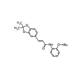 CCCCOc1ccccc1NC(=O)/C=C/c1ccc2c(c1)OC(C)(C)O2